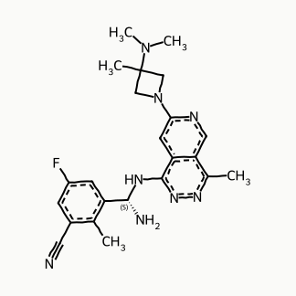 Cc1c(C#N)cc(F)cc1[C@@H](N)Nc1nnc(C)c2cnc(N3CC(C)(N(C)C)C3)cc12